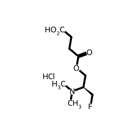 CN(C)[C@H](CF)COC(=O)CCC(=O)O.Cl